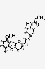 CCC(=O)N[C@H]1CC[C@H](CCCN2CCC(Cc3cc(OC)ccc3Br)CC2)CC1